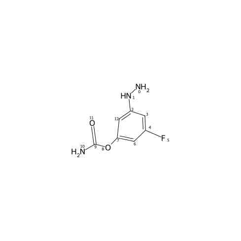 NNc1cc(F)cc(OC(N)=O)c1